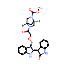 CC(C)(C)OC(=O)N1C[C@@H]2C[C@H]1CN2C(=O)CO/N=C1/C(=C2/C(=O)Nc3ccccc32)Nc2ccccc21